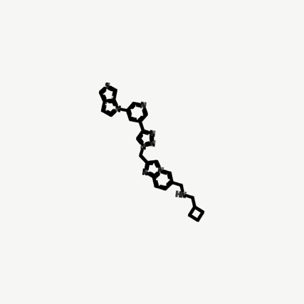 c1cc2nc(Cn3cc(-c4cncc(-n5ccc6cscc65)c4)nn3)cn2cc1CNCC1CCC1